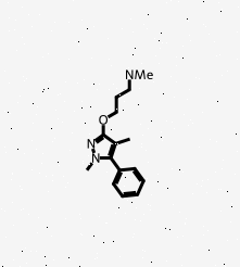 CNCCCOc1nn(C)c(-c2ccccc2)c1C